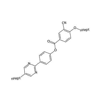 CCCCCCCOc1ccc(C(=O)Oc2ccc(-c3ncc(CCCCCCC)cn3)cc2)cc1C#N